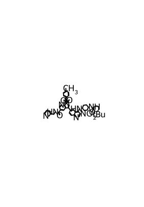 Cc1ccc(S(=O)(=O)n2cc(-c3ccc4ncc([N+](=O)[O-])c(NC5CCC(NC(=O)OC(C)(C)C)CC5)c4c3)c3cc(C(=O)NCc4cccnc4)cnc32)cc1